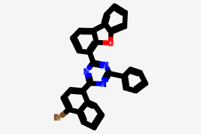 Brc1ccc(-c2nc(-c3ccccc3)nc(-c3cccc4c3oc3ccccc34)n2)c2ccccc12